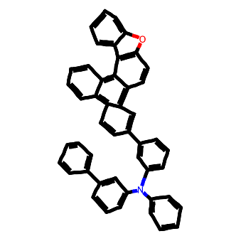 c1ccc(-c2cccc(N(c3ccccc3)c3cccc(-c4ccc5c6ccccc6c6c(ccc7oc8ccccc8c76)c5c4)c3)c2)cc1